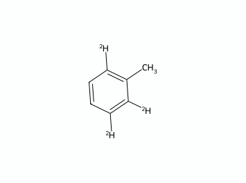 [2H]c1ccc([2H])c(C)c1[2H]